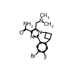 CN(C)Cc1c(C(N)=O)nc2n1C1CC(C1)c1cc(F)c(Br)cc1-2